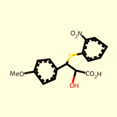 COc1ccc(C(Sc2ccccc2[N+](=O)[O-])C(O)C(=O)O)cc1